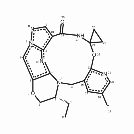 CC[C@@H]1COc2cn3ncc4c3nc2N1Cc1cc(F)cnc1OC1(CC1)NC4=O